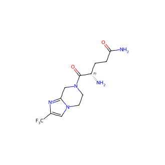 NC(=O)CC[C@H](N)C(=O)N1CCn2cc(C(F)(F)F)nc2C1